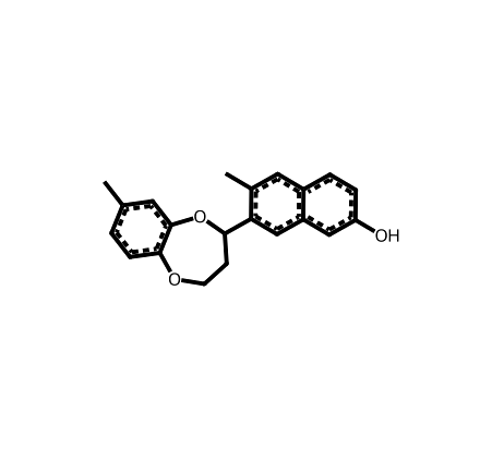 Cc1ccc2c(c1)OC(c1cc3cc(O)ccc3cc1C)CCO2